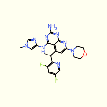 C[C@@H](c1ncc(F)cc1F)c1cc(N2CCOCC2)nc2nc(N)nc(Nc3cn(C)cn3)c12